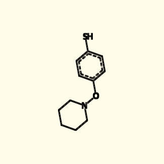 Sc1ccc(ON2CCCCC2)cc1